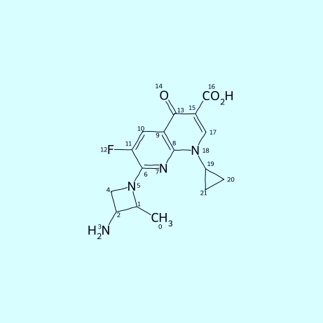 CC1C(N)CN1c1nc2c(cc1F)c(=O)c(C(=O)O)cn2C1CC1